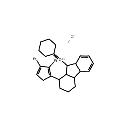 CCC1=CCC(C2CCCC3C4C=CC=CC4[CH]([Zr+2]=[C]4CCCCC4)C23)=C1CC.[Cl-].[Cl-]